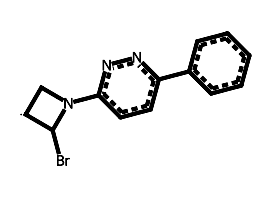 BrC1[CH]CN1c1ccc(-c2ccccc2)nn1